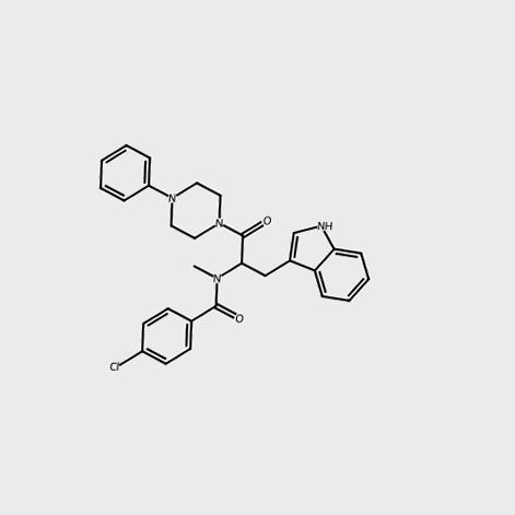 CN(C(=O)c1ccc(Cl)cc1)C(Cc1c[nH]c2ccccc12)C(=O)N1CCN(c2ccccc2)CC1